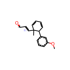 COc1cccc(C2C=CC=CC2(C)/C=C/[C]=O)c1